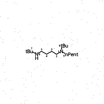 CCCCCN(CCCCNC(C)(C)C)C(C)(C)C